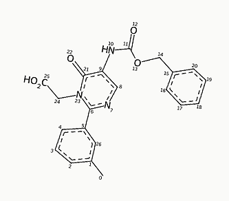 Cc1cccc(-c2ncc(NC(=O)OCc3ccccc3)c(=O)n2CC(=O)O)c1